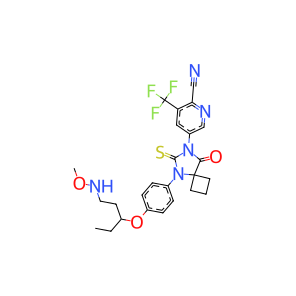 CCC(CCNOC)Oc1ccc(N2C(=S)N(c3cnc(C#N)c(C(F)(F)F)c3)C(=O)C23CCC3)cc1